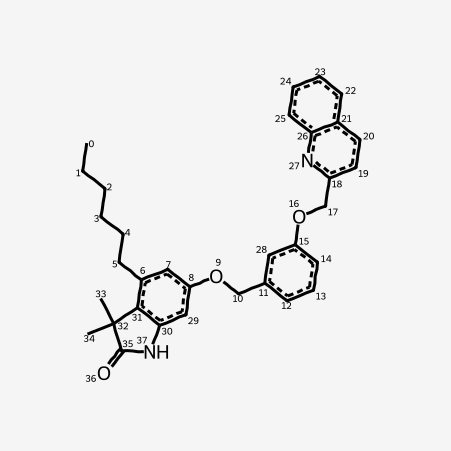 CCCCCCc1cc(OCc2cccc(OCc3ccc4ccccc4n3)c2)cc2c1C(C)(C)C(=O)N2